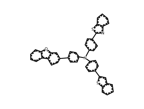 c1ccc2sc(-c3ccc(N(c4ccc(-c5ccc6c(c5)oc5ccccc56)cc4)c4ccc(-c5nc6ccccc6s5)cc4)cc3)cc2c1